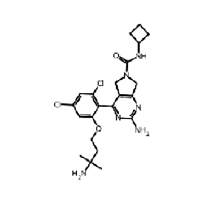 CC(C)(N)CCOc1cc(Cl)cc(Cl)c1-c1nc(N)nc2c1CN(C(=O)NC1CCC1)C2